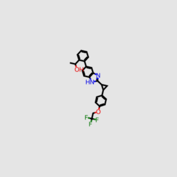 CC(O)c1ccccc1-c1ccc2[nH]c(C3CC3c3ccc(OCC(F)(F)F)cc3)nc2c1